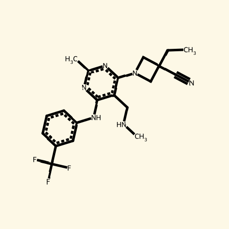 CCC1(C#N)CN(c2nc(C)nc(Nc3cccc(C(F)(F)F)c3)c2CNC)C1